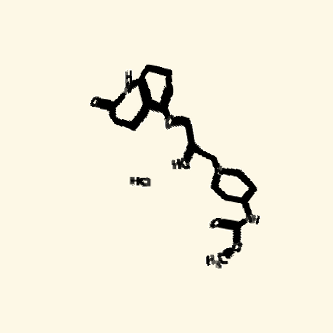 COC(=O)NC1CCN(CC(O)COc2cccc3c2CCC(=O)N3)CC1.Cl